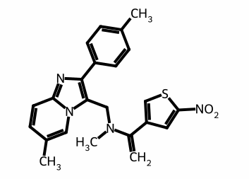 C=C(c1csc([N+](=O)[O-])c1)N(C)Cc1c(-c2ccc(C)cc2)nc2ccc(C)cn12